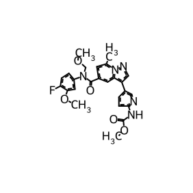 COCN(C(=O)c1cc(C)n2ncc(-c3ccc(NC(=O)OC)nc3)c2c1)c1ccc(F)c(OC)c1